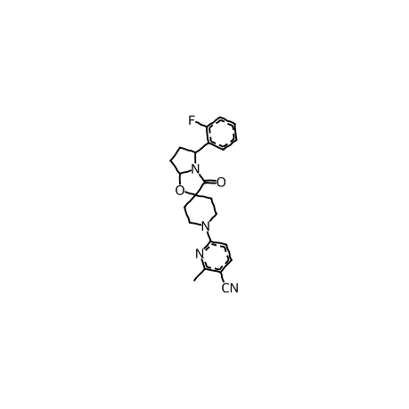 Cc1nc(N2CCC3(CC2)OC2CCC(c4ccccc4F)N2C3=O)ccc1C#N